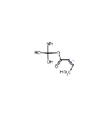 CCCC(O)(O)OC(=O)/C=C\C(=O)O